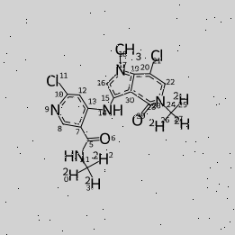 [2H]C([2H])([2H])NC(=O)c1cnc(Cl)cc1Nc1cn(C)c2c(Cl)cn(C([2H])([2H])[2H])c(=O)c12